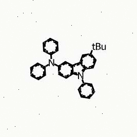 CC(C)(C)c1ccc2c(c1)c1cc(N(c3ccccc3)c3ccccc3)ccc1n2-c1ccccc1